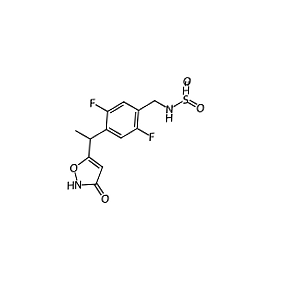 CC(c1cc(=O)[nH]o1)c1cc(F)c(CN[SH](=O)=O)cc1F